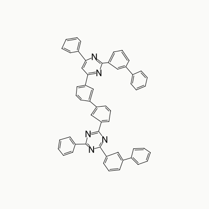 c1ccc(-c2cccc(-c3nc(-c4ccccc4)cc(-c4cccc(-c5cccc(-c6nc(-c7ccccc7)nc(-c7cccc(-c8ccccc8)c7)n6)c5)c4)n3)c2)cc1